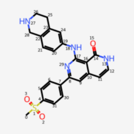 CS(=O)(=O)c1ccc(-c2cc3cc[nH]c(=O)c3c(Nc3ccc4c(c3)CCNC4)n2)cc1